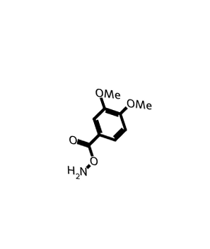 COc1ccc(C(=O)ON)cc1OC